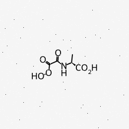 C[C@H](NC(=O)C(=O)OO)C(=O)O